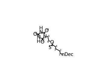 CCCCCCCCCCCCCCC(=S)OCCn1c(=O)[nH]c(=O)[nH]c1=O